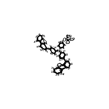 O=S(=O)(Oc1ccc(N(c2ccc(-c3cccc4c3oc3ccccc34)cc2)c2ccc(-c3cccc4c3oc3ccccc34)cc2)cc1)C(F)(F)F